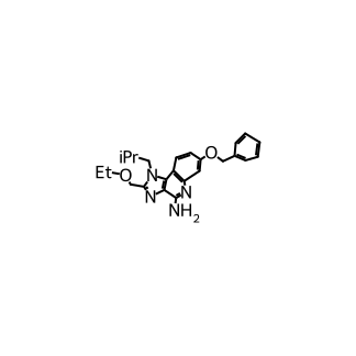 CCOCc1nc2c(N)nc3cc(OCc4ccccc4)ccc3c2n1CC(C)C